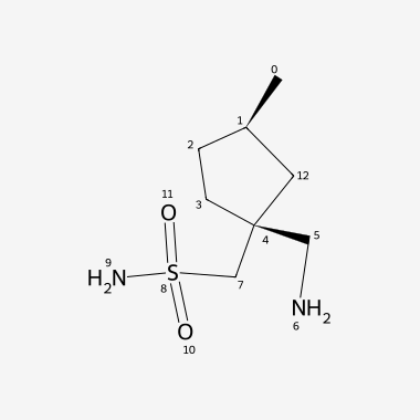 C[C@@H]1CC[C@@](CN)(CS(N)(=O)=O)C1